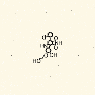 O=C1NC(=O)c2c1c(-c1ccccc1Cl)cc1[nH]c3cc(OCCCO)c(O)cc3c21